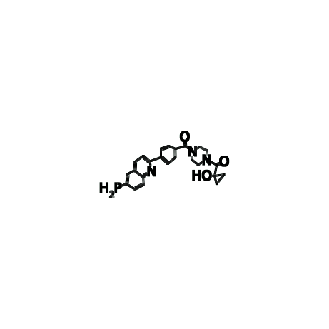 O=C(c1ccc(-c2ccc3cc(P)ccc3n2)cc1)N1CCN(C(=O)C2(O)CC2)CC1